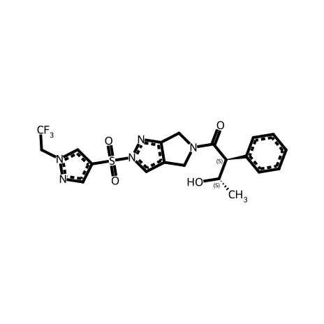 C[C@H](O)[C@@H](C(=O)N1Cc2cn(S(=O)(=O)c3cnn(CC(F)(F)F)c3)nc2C1)c1ccccc1